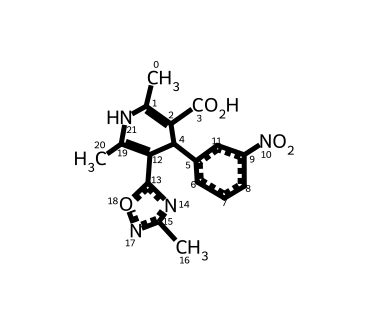 CC1=C(C(=O)O)C(c2cccc([N+](=O)[O-])c2)C(c2nc(C)no2)=C(C)N1